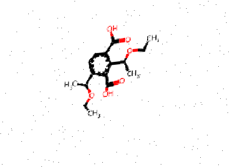 CCOC(C)c1ccc(C(=O)O)c(C(C)OCC)c1C(=O)O